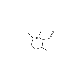 CC1=C(C)C(C=O)C(C)CC1